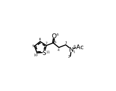 CC(=O)N(C)CCC(=O)c1cccs1